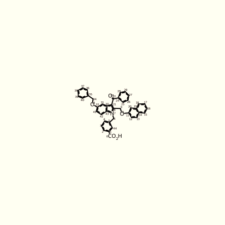 O=C(O)c1cccc(Cn2c(COc3ccc4ccccc4c3)c(C(=O)c3ccccc3)c3cc(OCc4ccccc4)ccc32)c1